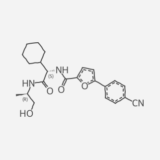 C[C@H](CO)NC(=O)[C@@H](NC(=O)c1ccc(-c2ccc(C#N)cc2)o1)C1CCCCC1